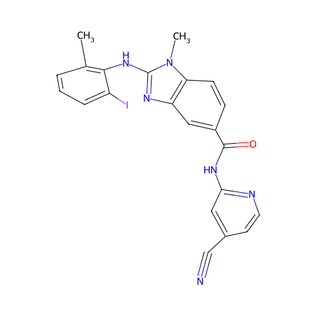 Cc1cccc(I)c1Nc1nc2cc(C(=O)Nc3cc(C#N)ccn3)ccc2n1C